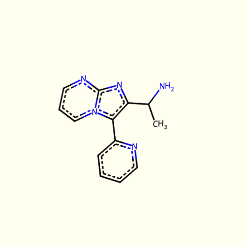 CC(N)c1nc2ncccn2c1-c1ccccn1